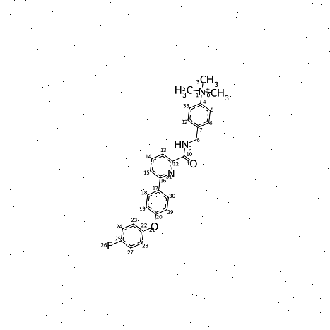 C[N+](C)(C)c1ccc(CNC(=O)c2cccc(-c3ccc(Oc4ccc(F)cc4)cc3)n2)cc1